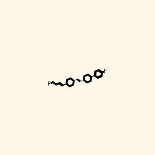 FCCC=C[C@H]1CC[C@H](CC[C@H]2CC[C@H](c3ccc(F)cc3)CC2)CC1